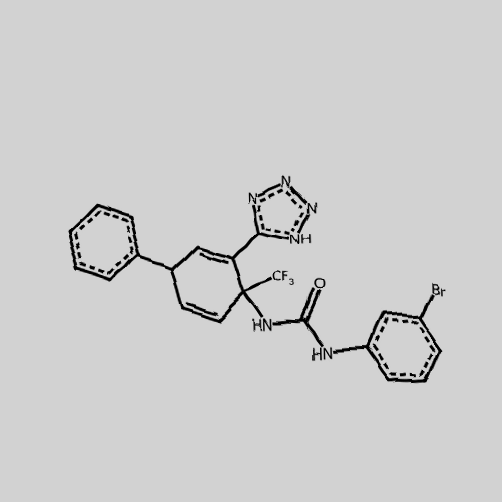 O=C(Nc1cccc(Br)c1)NC1(C(F)(F)F)C=CC(c2ccccc2)C=C1c1nnn[nH]1